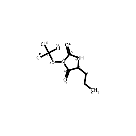 CCCC1NC(=O)N(SC(Cl)(Cl)Cl)C1=O